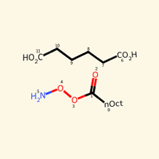 CCCCCCCCC(=O)OON.O=C(O)CCCCC(=O)O